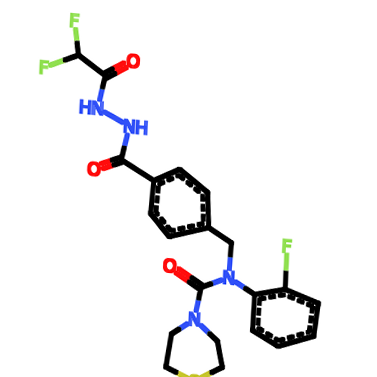 O=C(NNC(=O)C(F)F)c1ccc(CN(C(=O)N2CCSCC2)c2ccccc2F)cc1